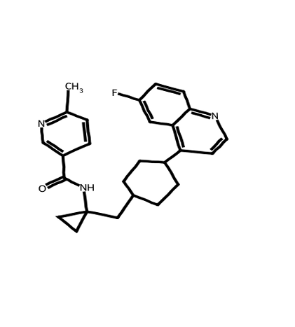 Cc1ccc(C(=O)NC2(CC3CCC(c4ccnc5ccc(F)cc45)CC3)CC2)cn1